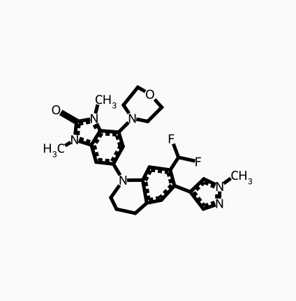 Cn1cc(-c2cc3c(cc2C(F)F)N(c2cc(N4CCOCC4)c4c(c2)n(C)c(=O)n4C)CCC3)cn1